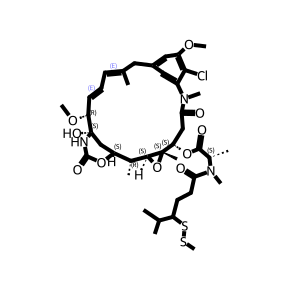 COc1cc2cc(c1Cl)N(C)C(=O)C[C@H](OC(=O)[C@H](C)N(C)C(=O)CCC(SSC)C(C)C)[C@]1(C)O[C@H]1[C@H](C)[C@@H]1C[C@@](O)(NC(=O)O1)[C@H](OC)/C=C/C=C(\C)C2